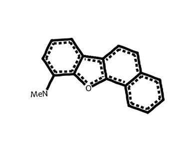 CNc1cccc2c1oc1c3ccccc3ccc21